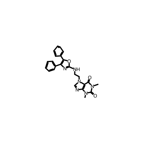 Cn1c(=O)c2c(ncn2CCNc2nc(-c3ccccc3)c(-c3ccccc3)o2)n(C)c1=O